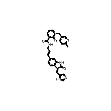 Cc1ccc(Cn2cccc(C(=O)NCC=Cc3ccc4c(c3)NC(=O)C4=Cc3cnc[nH]3)c2=O)cn1